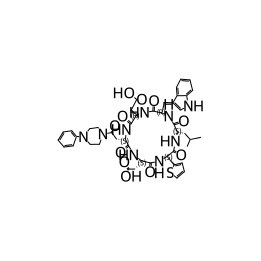 CC(C)C[C@@H]1NC(=O)[C@@H](c2cccs2)NC(=O)[C@H](CC(=O)O)NC(=O)[C@H](CC(=O)N2CCN(c3ccccc3)CC2)NC(=O)[C@@H](CC(=O)O)NC(=O)[C@@H](Cc2c[nH]c3ccccc23)NC1=O